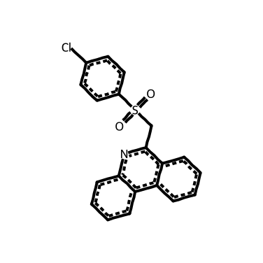 O=S(=O)(Cc1nc2ccccc2c2ccccc12)c1ccc(Cl)cc1